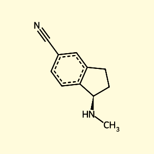 CN[C@@H]1CCc2cc(C#N)ccc21